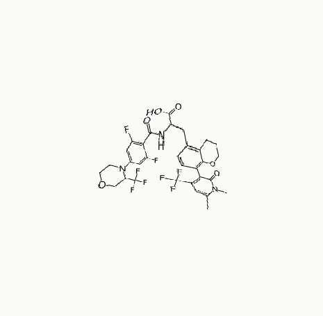 Cc1cc(C(F)(F)F)c(-c2ccc(CC(NC(=O)c3c(F)cc(N4CCOCC4C(F)(F)F)cc3F)C(=O)O)c3c2OCCC3)c(=O)n1C